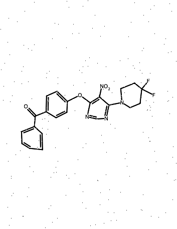 O=C(c1ccccc1)c1ccc(Oc2ncnc(N3CCC(F)(F)CC3)c2[N+](=O)[O-])cc1